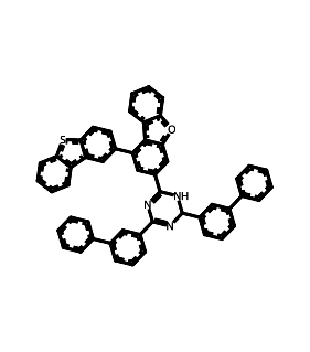 c1ccc(-c2cccc(C3=NC(c4cccc(-c5ccccc5)c4)NC(c4cc(-c5ccc6sc7ccccc7c6c5)c5c(c4)oc4ccccc45)=N3)c2)cc1